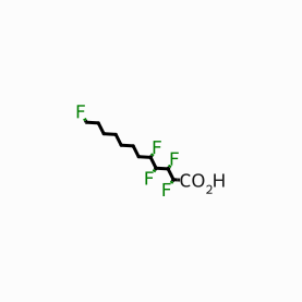 O=C(O)C(F)C(F)C(F)C(F)CCCCCCCF